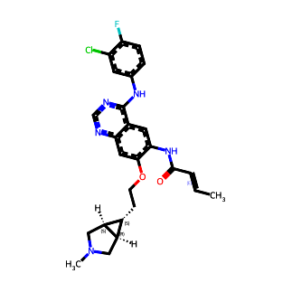 C/C=C/C(=O)Nc1cc2c(Nc3ccc(F)c(Cl)c3)ncnc2cc1OCC[C@@H]1[C@H]2CN(C)C[C@@H]12